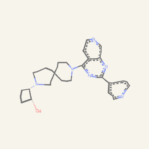 O[C@@H]1CC[C@@H]1N1CCC2(CCN(c3nc(-c4ccncc4)nc4cnccc34)CC2)C1